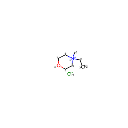 C[N+]1(CC#N)CCOCC1.[Cl-]